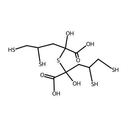 O=C(O)C(O)(CC(S)CS)SC(O)(CC(S)CS)C(=O)O